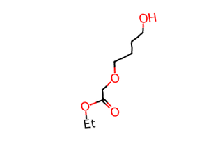 CCOC(=O)COCCCCO